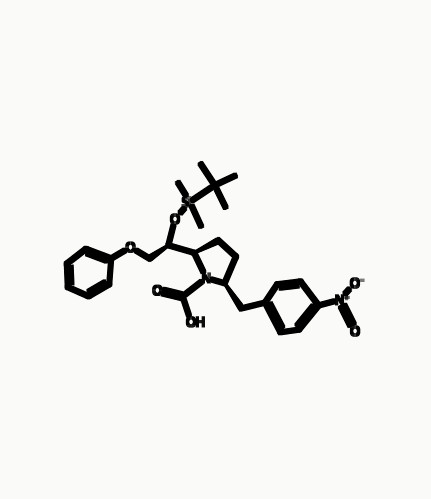 CC(C)(C)[Si](C)(C)O[C@H](COc1ccccc1)[C@H]1CC[C@@H](Cc2ccc([N+](=O)[O-])cc2)N1C(=O)O